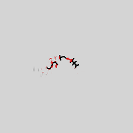 CC(C)OCC(OC(C)C)C1OC[C@H](OC(C)(C)CCOC(C)(C)C(C)(C)C(C)CO)C1OC(C)C